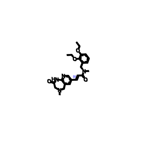 CCOc1cccc(CN(C)C(=O)/C=C/c2cnc3c(c2)CN(C)CC(=O)N3)c1OCC